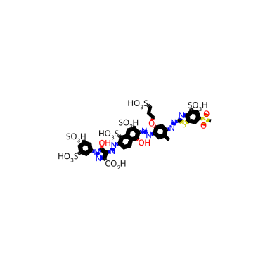 Cc1cc(N=Nc2c(S(=O)(=O)O)cc3c(S(=O)(=O)O)c(N=Nc4c(C(=O)O)nn(-c5cc(S(=O)(=O)O)cc(S(=O)(=O)O)c5)c4O)ccc3c2O)c(OCCCS(=O)(=O)O)cc1N=Nc1nc2c(S(=O)(=O)O)cc(S(C)(=O)=O)cc2s1